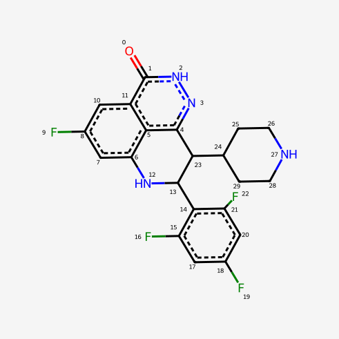 O=c1[nH]nc2c3c(cc(F)cc13)NC(c1c(F)cc(F)cc1F)C2C1CCNCC1